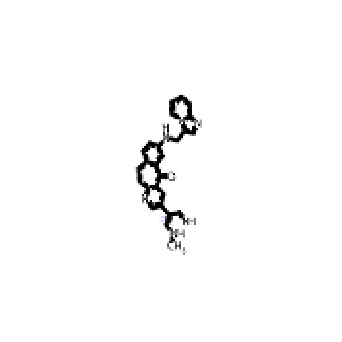 CN/C=C(\C=N)c1cnc2ccc3ccc(NCc4cnc5ccccn45)cc3c(=O)c2c1